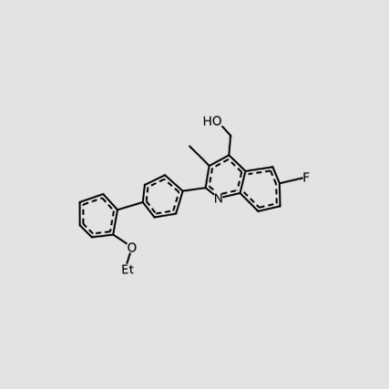 CCOc1ccccc1-c1ccc(-c2nc3ccc(F)cc3c(CO)c2C)cc1